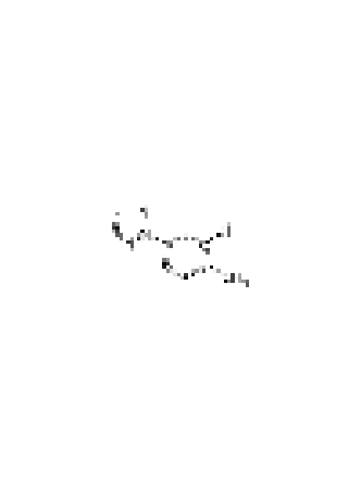 Cc1ccc(-n2nccn2)cc1Cl